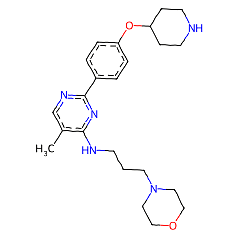 Cc1cnc(-c2ccc(OC3CCNCC3)cc2)nc1NCCCN1CCOCC1